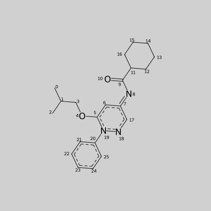 CC(C)COc1c/c(=N\C(=O)C2CCCCC2)cnn1-c1ccccc1